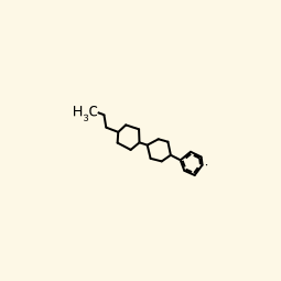 CCCC1CCC(C2CCC(c3cc[c]cc3)CC2)CC1